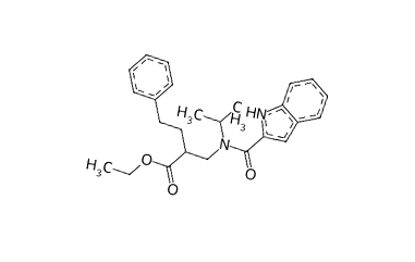 CCOC(=O)C(CCc1ccccc1)CN(C(=O)c1cc2ccccc2[nH]1)C(C)C